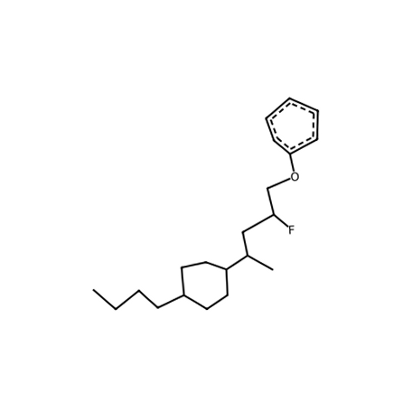 CCCCC1CCC(C(C)CC(F)COc2ccccc2)CC1